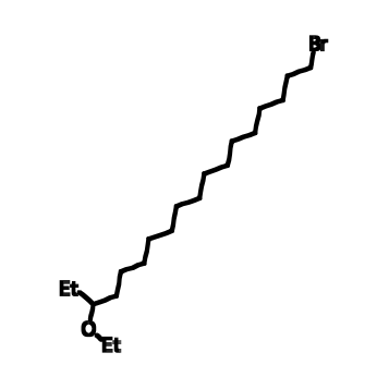 CCOC(CC)CCCCCCCCCCCCCCCBr